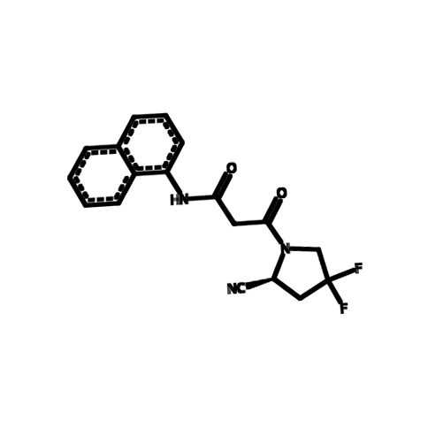 N#C[C@@H]1CC(F)(F)CN1C(=O)CC(=O)Nc1cccc2ccccc12